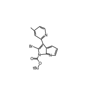 Cc1ccnc(-c2c(Br)n(C(=O)OC(C)(C)C)c3ncccc23)c1